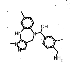 Cc1ccc2c(c1)Nc1c(cnn1C)CN2C(O)c1ccc(CN)c(F)c1